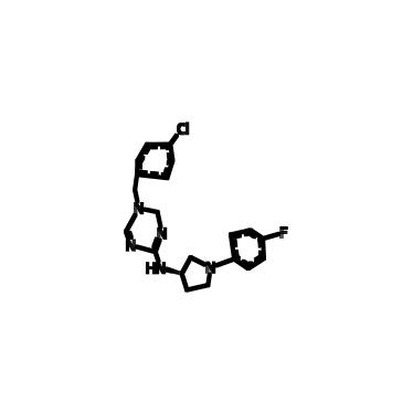 Fc1ccc(N2CC[C@@H](NC3=NCN(Cc4ccc(Cl)cc4)C=N3)C2)cc1